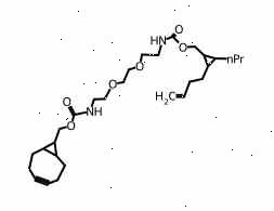 C=CCCC1C(CCC)C1COC(=O)NCCOCCOCCNC(=O)OCC1C2CCC#CCCC21